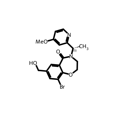 COc1ccnc([C@H](C)N2CCOc3c(Br)cc(CO)cc3C2=O)c1